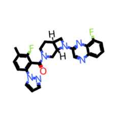 Cc1ccc(-n2cccn2)c(C(=O)N2CC[C@H]3CN(c4cnc5cccc(F)c5n4)[C@@H]3C2)c1F